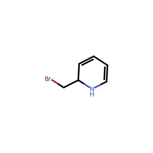 BrC[C]1C=CC=CN1